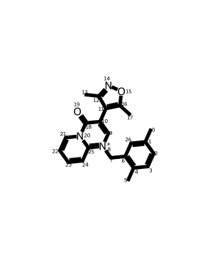 Cc1ccc(C)c(C[n+]2cc(-c3c(C)noc3C)c(=O)n3ccccc32)c1